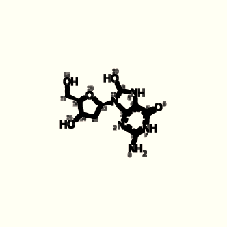 Nc1nc2c(c(=O)[nH]1)NC(O)N2[C@H]1CC(O)[C@@H](CO)O1